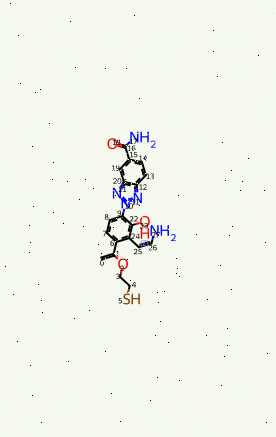 C=C(OCCS)c1ccc(-n2nc3ccc(C(N)=O)cc3n2)c(O)c1/C=C\N